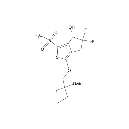 COC1(COc2sc(S(C)(=O)=O)c3c2CC(F)(F)[C@H]3O)CCC1